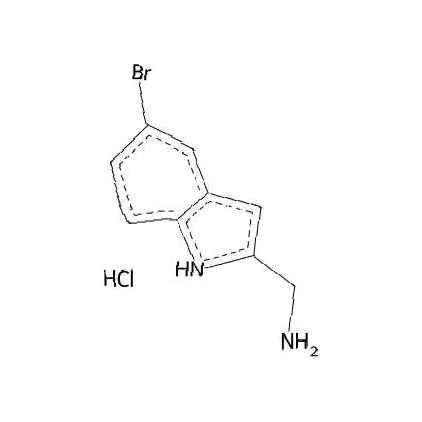 Cl.NCc1cc2cc(Br)ccc2[nH]1